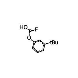 CC(C)(C)c1cccc(OP(O)F)c1